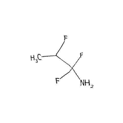 CC(F)C(N)(F)F